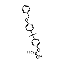 CC(C)(c1ccc(OCc2ccccc2)cc1)c1ccc(OB(O)O)cc1